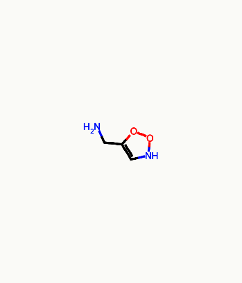 NCC1=CNOO1